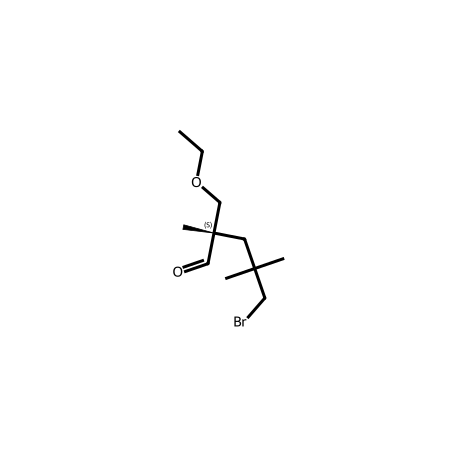 CCOC[C@@](C)(C=O)CC(C)(C)CBr